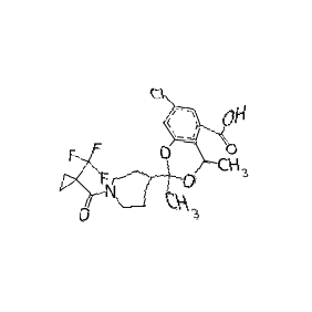 CC1OC(C)(C2CCN(C(=O)C3(C(F)(F)F)CC3)CC2)Oc2cc(Cl)cc(C(=O)O)c21